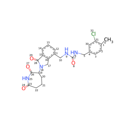 Cc1ccc(CNC(=O)NCc2cccc3c2CN(C2CCCC(=O)NC2=O)C3=O)cc1Cl